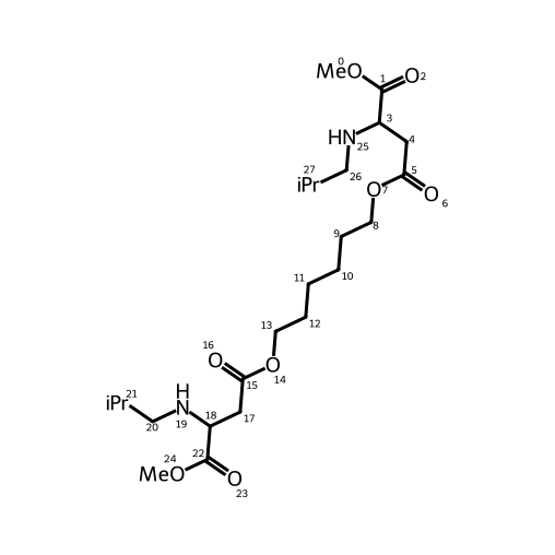 COC(=O)C(CC(=O)OCCCCCCOC(=O)CC(NCC(C)C)C(=O)OC)NCC(C)C